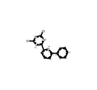 CCc1nc(CC)nc(-c2cccc(-c3ccccc3)n2)n1